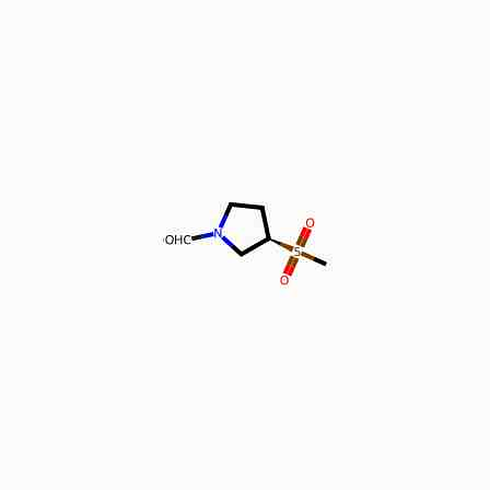 CS(=O)(=O)[C@@H]1CCN([C]=O)C1